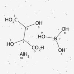 O=C(O)C(O)C(O)C(=O)O.OB(O)O.[AlH3]